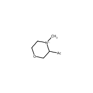 CC(=O)C1COCC[N+]1C